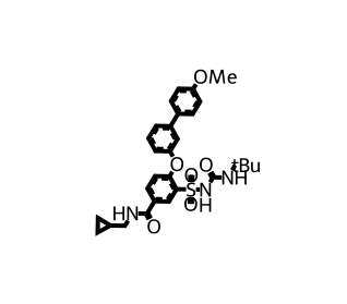 COc1ccc(-c2cccc(Oc3ccc(C(=O)NCC4CC4)cc3S(=O)(=O)NC(=O)NC(C)(C)C)c2)cc1